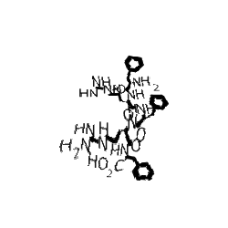 N=C(N)NCCC[C@H](NC(=O)[C@H](Cc1ccccc1)NC(=O)[C@H](CCCNC(=N)N)NC(=O)[C@@H](N)Cc1ccccc1)C(=O)N[C@@H](Cc1ccccc1)C(=O)O